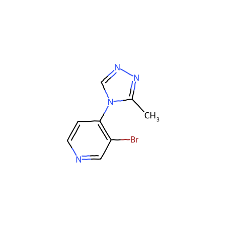 Cc1nncn1-c1ccncc1Br